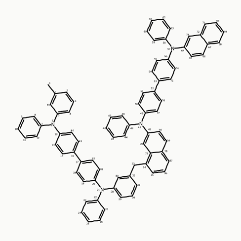 Cc1cccc(N(c2ccccc2)c2ccc(-c3ccc(N(c4ccccc4)c4cccc(Cc5cccc6ccc(N(c7ccccc7)c7ccc(-c8ccc(N(c9ccccc9)c9ccc%10ccccc%10c9)cc8)cc7)cc56)c4)cc3)cc2)c1